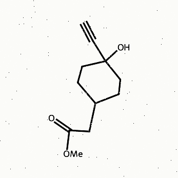 C#CC1(O)CCC(CC(=O)OC)CC1